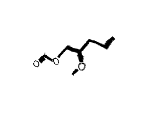 CCCC(CO[C]=O)OC